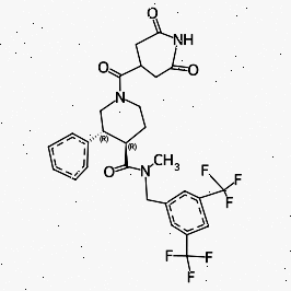 CN(Cc1cc(C(F)(F)F)cc(C(F)(F)F)c1)C(=O)[C@@H]1CCN(C(=O)C2CC(=O)NC(=O)C2)C[C@H]1c1ccccc1